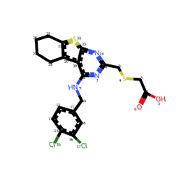 O=C(O)CSCc1nc(NCc2ccc(Cl)c(Cl)c2)c2c3c(sc2n1)CCCC3